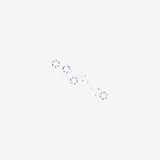 COc1ccccc1-c1cc(Nc2ccc(C)c(NS(=O)(=O)CCCCN3C(=O)c4ccccc4C3=O)c2)ncn1